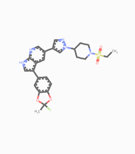 CCS(=O)(=O)N1CCC(n2cc(-c3cnc4[nH]cc(-c5ccc6c(c5)OC(C)(F)O6)c4c3)cn2)CC1